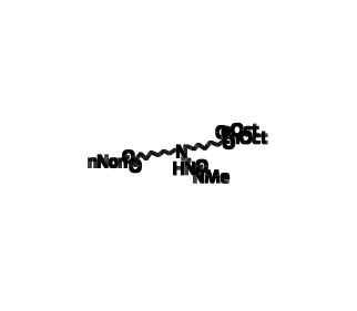 CCCCCCCCCOC(=O)CCCCCCCN(CCCCCCC(OCCCCCCCC)OCCCCCCCC)CCNC(=O)NC